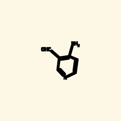 Nc1ccncc1C=O